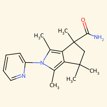 Cc1c2c(c(C)n1-c1ccccn1)C(C)(C(N)=O)CC2(C)C